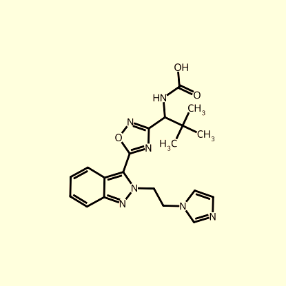 CC(C)(C)C(NC(=O)O)c1noc(-c2c3ccccc3nn2CCn2ccnc2)n1